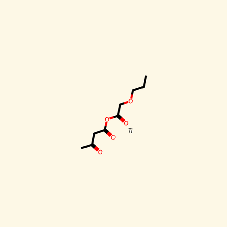 CCCOCC(=O)OC(=O)CC(C)=O.[Ti]